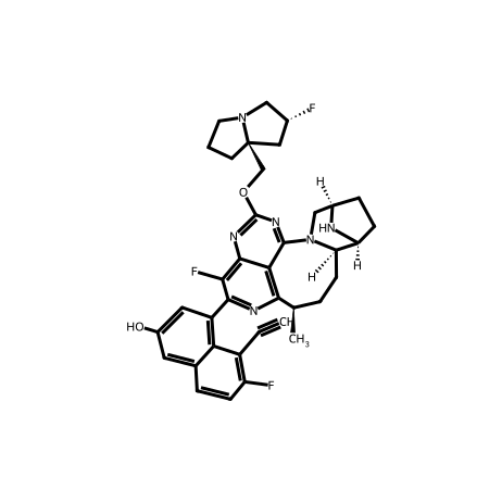 C#Cc1c(F)ccc2cc(O)cc(-c3nc4c5c(nc(OC[C@@]67CCCN6C[C@H](F)C7)nc5c3F)N3C[C@H]5CC[C@H](N5)[C@H]3CC[C@H]4C)c12